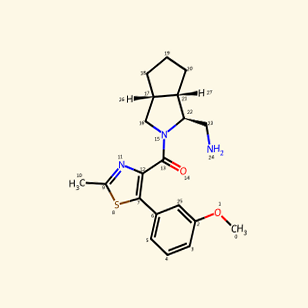 COc1cccc(-c2sc(C)nc2C(=O)N2C[C@@H]3CCC[C@@H]3[C@H]2CN)c1